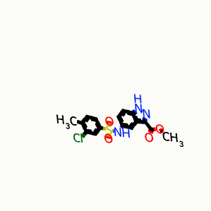 COC(=O)c1n[nH]c2ccc(NS(=O)(=O)c3ccc(C)c(Cl)c3)cc12